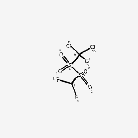 O=S(=O)(C(F)F)S(=O)(=O)C(Cl)(Cl)Cl